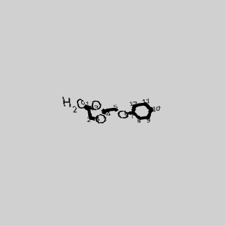 C=C1COC(COC2CCCCC2)O1